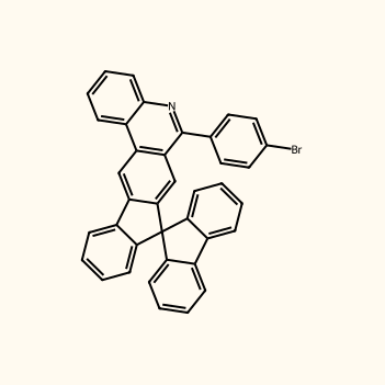 Brc1ccc(-c2nc3ccccc3c3cc4c(cc23)C2(c3ccccc3-c3ccccc32)c2ccccc2-4)cc1